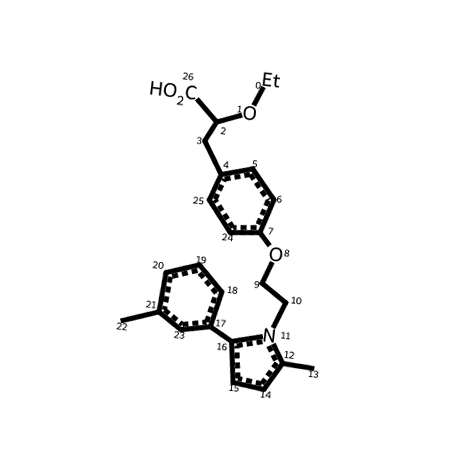 CCOC(Cc1ccc(OCCn2c(C)ccc2-c2cccc(C)c2)cc1)C(=O)O